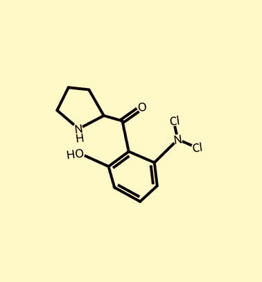 O=C(c1c(O)cccc1N(Cl)Cl)C1CCCN1